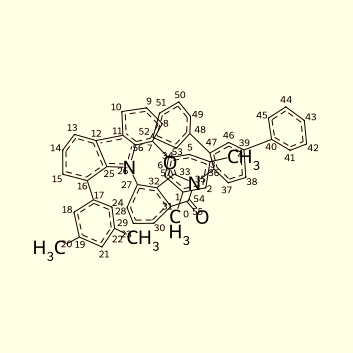 Cc1cc(C)cc(-c2cccc3c4cccc(-c5cc(C)cc(C)c5)c4n(-c4cccc5c4C(=O)N(c4ccc(-c6ccccc6)cc4-c4ccccc4)C5=O)c23)c1